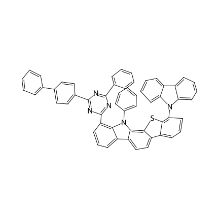 c1ccc(-c2ccc(-c3nc(-c4ccccc4)nc(-c4cccc5c6ccc7c8cccc(-n9c%10ccccc%10c%10ccccc%109)c8sc7c6n(-c6ccccc6)c45)n3)cc2)cc1